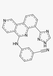 N#Cc1cccc(Nc2nc3c(-c4nc[nH]n4)cccc3c3cnccc23)c1